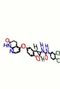 O=C1CCc2c(Oc3ccc4c(c3)[C@H]3C(NC(=O)Nc5ccc(Cl)c(Cl)c5)[C@H]3O4)ccnc2N1